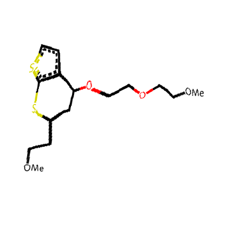 COCCOCCOC1CC(CCOC)Sc2sccc21